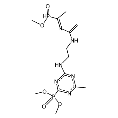 C=C(/N=C(\C)[PH](=O)OC)NCCNc1nc(C)nc(P(=O)(OC)OC)n1